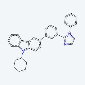 c1ccc(-n2ccnc2-c2cccc(-c3ccc4c(c3)c3ccccc3n4C3CCCCC3)c2)cc1